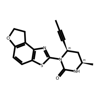 CC#C[C@H]1C[C@@H](C)NC(=O)N1c1nc2c3c(ccc2s1)OCC3